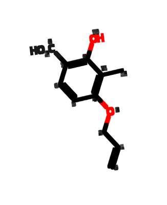 C=CCOc1ccc(C(=O)O)c(O)c1C